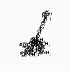 CC(=O)N[C@@H](C)C(=O)N[C@H](C)C(=O)N[C@@H](CC(N)=O)C(=O)NCCCN(C(=O)CSC[C@H](NC(=O)CCOCCOCCOCCOCCNC(=O)CN1C(=O)C=CC1=O)C(=O)O)[C@@H](c1cc(-c2cc(F)ccc2F)cn1Cc1ccccc1)C(C)(C)C